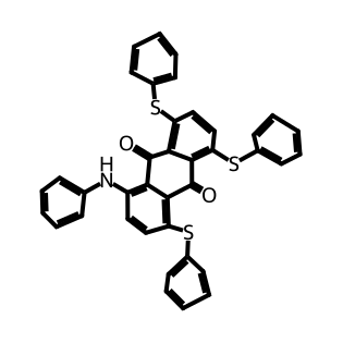 O=C1c2c(Nc3ccccc3)ccc(Sc3ccccc3)c2C(=O)c2c(Sc3ccccc3)ccc(Sc3ccccc3)c21